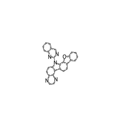 c1ccc2nc(-n3c4ccc5nccnc5c4c4ccc5c6ccccc6oc5c43)ncc2c1